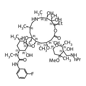 CCCNC[C@]1(O)[C@H](C)O[C@@H](O[C@H]2[C@H](C)[C@@H](O[C@@H]3O[C@H](C)C[C@H](N(C)C(=O)Nc4cccc(F)c4)[C@H]3O)[C@](C)(O)C[C@@H](C)CN[C@H](C)[C@@H](O)[C@](C)(O)[C@@H](CC)OC(=O)[C@@H]2C)C[C@@]1(C)OC